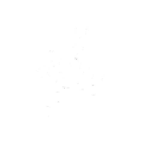 C1=C2C(=CCC1)C(c1ccc(N(c3ccc(-c4ccccc4)cc3)c3ccc(-c4ccccc4)cc3)cc1)(c1ccc(N(c3ccc(-c4ccccc4)cc3)c3ccc(-c4ccccc4)cc3)cc1)c1ccccc12